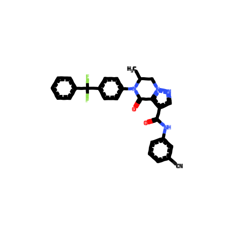 CC1Cn2ncc(C(=O)Nc3cccc(C#N)c3)c2C(=O)N1c1ccc(C(F)(F)c2ccccc2)cc1